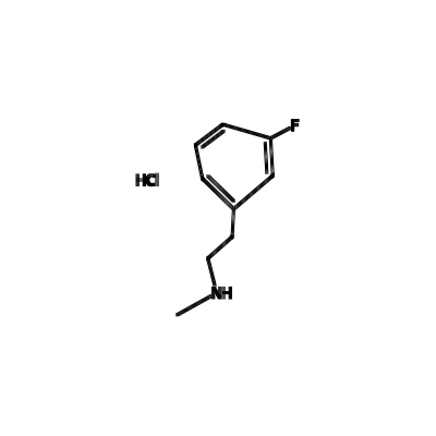 CNCCc1cccc(F)c1.Cl